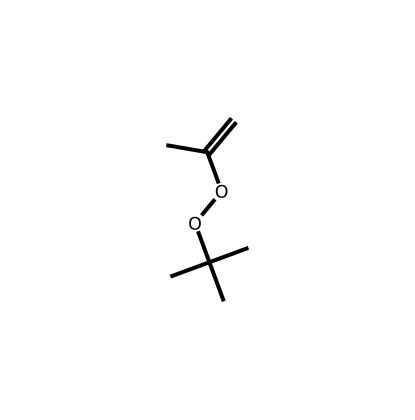 C=C(C)OOC(C)(C)C